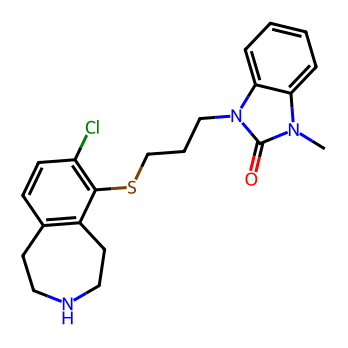 Cn1c(=O)n(CCCSc2c(Cl)ccc3c2CCNCC3)c2ccccc21